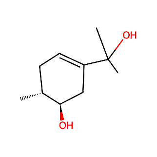 C[C@@H]1CC=C(C(C)(C)O)C[C@H]1O